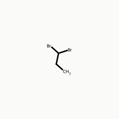 C[CH]C(Br)Br